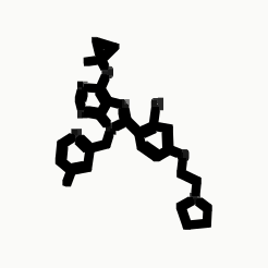 Cc1ccnc(Cn2c(-c3ccc(OCCN4CCCC4)cc3Cl)nc3c(OC4(C)CC4)ncnc32)c1